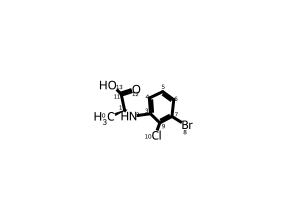 C[C@H](Nc1cccc(Br)c1Cl)C(=O)O